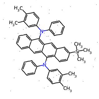 Cc1ccc(N(c2ccccc2)c2c3ccccc3cc3c(N(c4ccccc4)c4ccc(C)c(C)c4)c4ccc([Si](C)(C)C)cc4cc23)cc1C